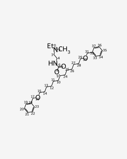 CCN(C)CCNC(=O)OC(CCCCCCOCc1ccccc1)CCCCCCOCc1ccccc1